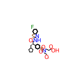 COCCN(CCC(=O)O)S(=O)(=O)c1ccc([C@@H](CC2CCCC2)C(=O)Nc2nc3ccc(F)cc3s2)cc1